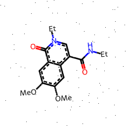 CCNC(=O)c1cn(CC)c(=O)c2cc(OC)c(OC)cc12